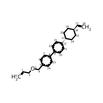 C=CCOCc1ccc(-c2ccc([C@H]3CC[C@H](C=C)CC3)cc2)cc1